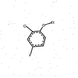 CCOc1ccc(F)cc1Cl